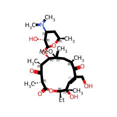 CC[C@H]1OC(=O)[C@H](C)C(=O)[C@H](C)[C@@H](OC2O[C@H](C)C[C@H](N(C)C)[C@H]2O)[C@@](C)(OC)C[C@@H](C)C(=O)/C(CO)=C/[C@]1(C)O